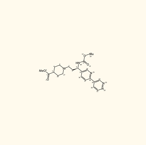 COC(=O)C1CCN(CC[C@@H](NC(=O)OC(C)(C)C)c2ccc(-c3ccnnc3)nc2)CC1